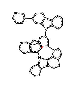 c1ccc(-c2cc(-n3ccc4ccc5c6ccccc6n(-c6ccccc6)c5c43)cc(-n3c4ccccc4c4ccc(-c5ccccc5)cc43)c2)cc1